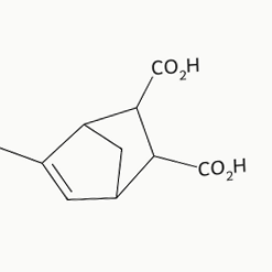 CC1=CC2CC1C(C(=O)O)C2C(=O)O